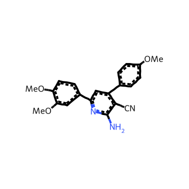 COc1ccc(-c2cc(-c3ccc(OC)c(OC)c3)nc(N)c2C#N)cc1